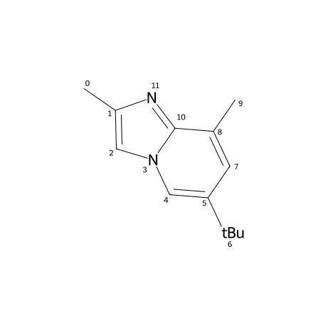 Cc1cn2cc(C(C)(C)C)cc(C)c2n1